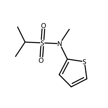 CC(C)S(=O)(=O)N(C)c1cccs1